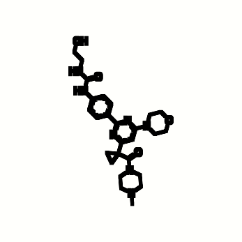 CN1CCN(C(=O)C2(c3cc(N4CCOCC4)nc(-c4ccc(NC(=O)NCCO)cc4)n3)CC2)CC1